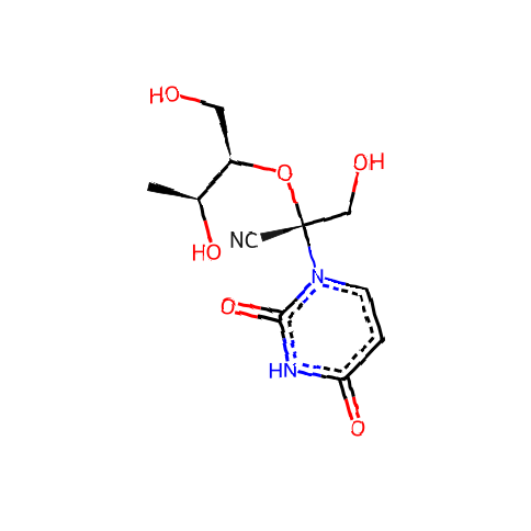 C[C@H](O)[C@@H](CO)O[C@](C#N)(CO)n1ccc(=O)[nH]c1=O